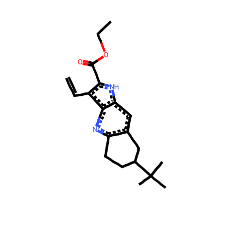 C=Cc1c(C(=O)OCC)[nH]c2cc3c(nc12)CCC(C(C)(C)C)C3